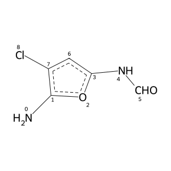 Nc1oc(NC=O)cc1Cl